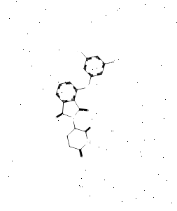 CC(C)(C)c1cc(N)cc(Oc2cccc3c2C(=O)N(C2CCC(=O)NC2=O)C3=O)c1